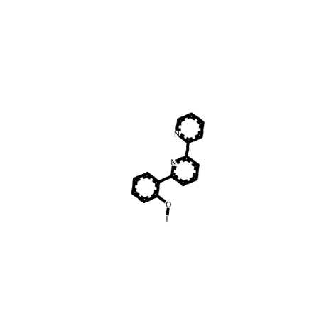 IOc1ccccc1-c1cccc(-c2ccccn2)n1